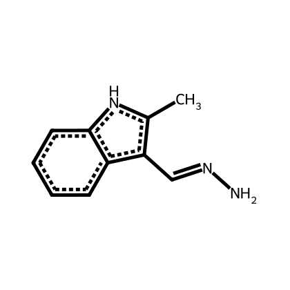 Cc1[nH]c2ccccc2c1C=NN